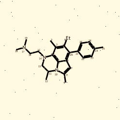 CCc1c(C)c2c3c(cc(C)n3C(C)CN2CCN(C)C)c1-c1ccc(C)cc1